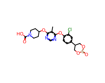 Cc1c(Oc2ccc(C3COS(=O)OC3)cc2Cl)ncnc1OC1CCN(C(=O)O)CC1